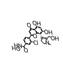 CN1CC[C@H](c2c(O)cc(O)c3c(=O)cc(-c4ccc(C(=O)NO)cc4Cl)oc23)[C@H]1CO